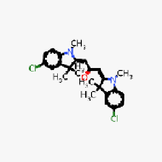 CN1/C(=C/C(=O)/C=C2/N(C)c3ccc(Cl)cc3C2(C)C)C(C)(C)c2cc(Cl)ccc21